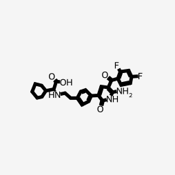 Nc1[nH]c(=O)c(-c2ccc(CCN[C@H](C(=O)O)C3CCCCC3)cc2)cc1C(=O)c1ccc(F)cc1F